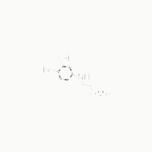 COCCNc1cc(C)c(Br)c(C)c1